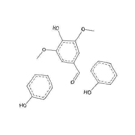 COc1cc(C=O)cc(OC)c1O.Oc1ccccc1.Oc1ccccc1